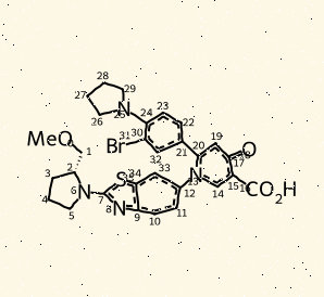 COC[C@H]1CCCN1c1nc2ccc(-n3cc(C(=O)O)c(=O)cc3-c3ccc(N4CCCC4)c(Br)c3)cc2s1